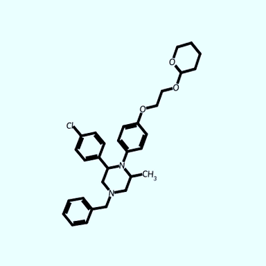 CC1CN(Cc2ccccc2)CC(c2ccc(Cl)cc2)N1c1ccc(OCCOC2CCCCO2)cc1